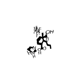 CCCCC1C(C(=O)O)=CC=CC1(C)C(=O)O.[F][Sb-]([F])([F])([F])([F])[F].[H+].c1c[nH]cn1